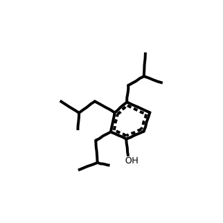 CC(C)Cc1ccc(O)c(CC(C)C)c1CC(C)C